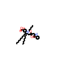 CCCCCCCCCCC1(CCCCCCCC)C(/C=C2\C(=O)C(/C=C3/N(C)c4ccccc4C3(C)C)=C2O)=[N+](CCCCCC)c2ccc(C(=O)O)cc21